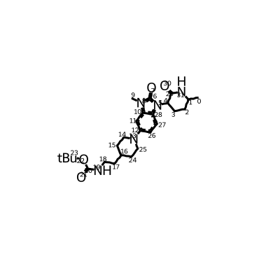 CC1CCC(n2c(=O)n(C)c3cc(N4CCC(CCNC(=O)OC(C)(C)C)CC4)ccc32)C(=O)N1